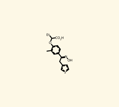 CCC(Oc1ccc(C(Cc2ccsc2)=NO)cc1C)C(=O)O